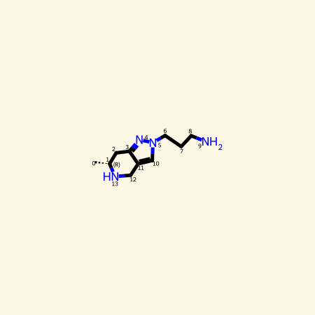 C[C@@H]1Cc2nn(CCCN)cc2CN1